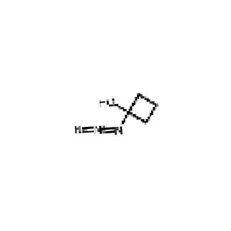 [N-]=[N+]=NC1(O)CCC1